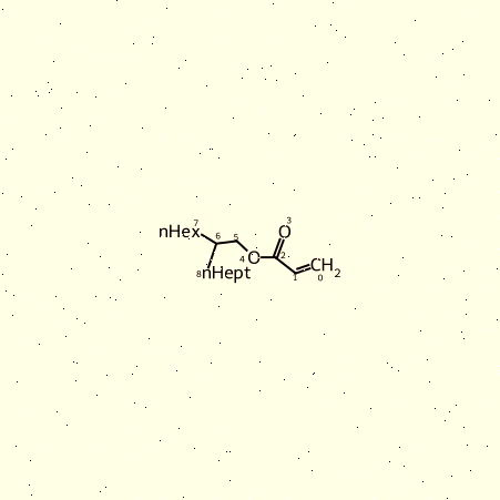 C=CC(=O)OCC(CCCCCC)CCCCCCC